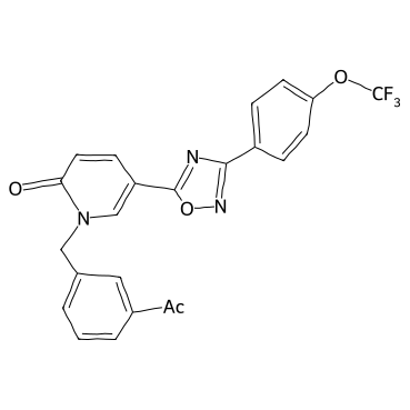 CC(=O)c1cccc(Cn2cc(-c3nc(-c4ccc(OC(F)(F)F)cc4)no3)ccc2=O)c1